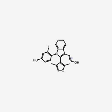 Cc1noc(C)c1-c1c(/C=N/O)c2ccccc2n1-c1ccc(O)cc1F